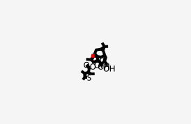 CC1=CC23C(=O)C(C=C(CO)C(O)C2(O)C1OC(=O)c1c(C)sc(C)c1C)C1C(C[C@H]3C)C1(C)C